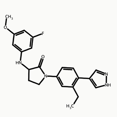 CCc1cc(N2CCC(Nc3cc(F)cc(OC)c3)C2=O)ccc1-c1cn[nH]c1